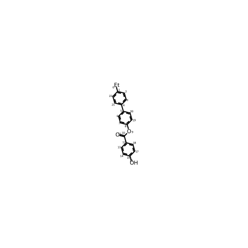 CCc1ccc(-c2ccc(OC(=O)c3ccc(O)cc3)cc2)cc1